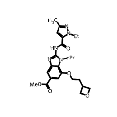 CCCn1c(NC(=O)c2cc(C)nn2CC)nc2cc(C(=O)OC)cc(OCCC3COC3)c21